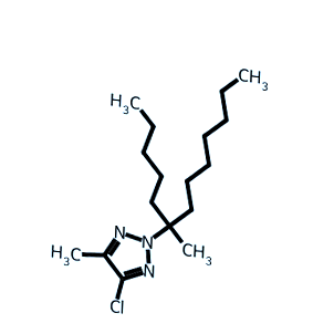 CCCCCCCC(C)(CCCCC)n1nc(C)c(Cl)n1